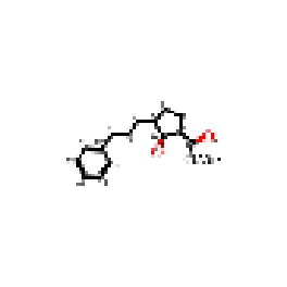 COC(=O)C1CCC(CCCc2ccccc2)C1=O